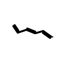 [CH]=C/C=C/C=C